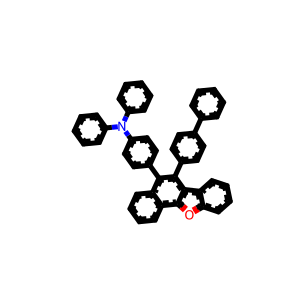 c1ccc(-c2ccc(-c3c(-c4ccc(N(c5ccccc5)c5ccccc5)cc4)c4ccccc4c4oc5ccccc5c34)cc2)cc1